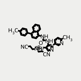 Cc1ccc(-c2ccc(NC(=O)Nc3c(C(C)(C)C)cnn3-c3ccc(C)nc3)c3ccccc23)cc1.N#CCCNCCC#N